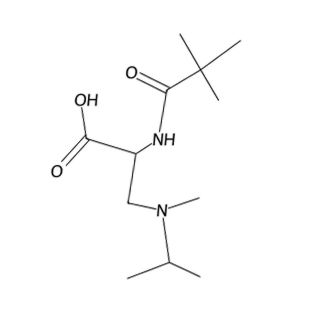 CC(C)N(C)CC(NC(=O)C(C)(C)C)C(=O)O